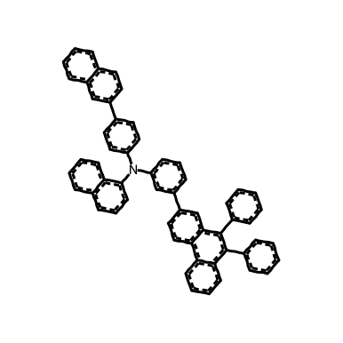 c1ccc(-c2c(-c3ccccc3)c3cc(-c4cccc(N(c5ccc(-c6ccc7ccccc7c6)cc5)c5cccc6ccccc56)c4)ccc3c3ccccc23)cc1